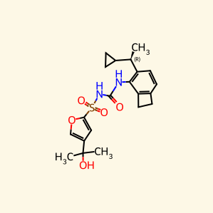 C[C@@H](c1ccc2c(c1NC(=O)NS(=O)(=O)c1cc(C(C)(C)O)co1)CC2)C1CC1